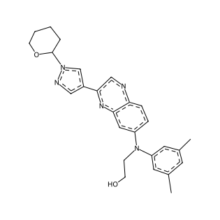 Cc1cc(C)cc(N(CCO)c2ccc3ncc(-c4cnn(C5CCCCO5)c4)nc3c2)c1